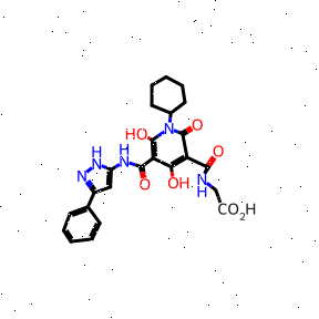 O=C(O)CNC(=O)c1c(O)c(C(=O)Nc2cc(-c3ccccc3)n[nH]2)c(O)n(C2CCCCC2)c1=O